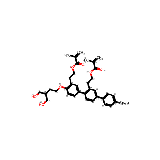 C=C(C)C(=O)OCCc1cc(-c2ccc(-c3ccc(CCCCC)cc3)cc2CCOC(=O)C(=C)C)ccc1OCCC(CO)CO